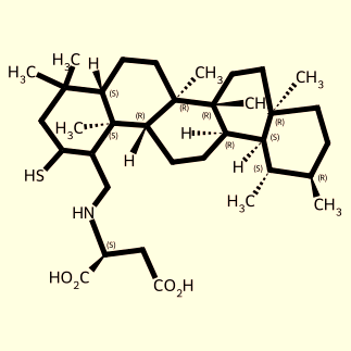 C[C@@H]1[C@H]2[C@H]3CC[C@@H]4[C@@]5(C)C(CN[C@@H](CC(=O)O)C(=O)O)C(S)CC(C)(C)[C@@H]5CC[C@@]4(C)[C@]3(C)CC[C@@]2(C)CC[C@H]1C